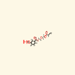 C=CC(=O)OCCOCCOC(=O)c1cccc(O)c1